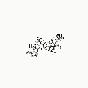 CCCN(CCC)c1ccc(C(=Cc2ccc(C=C(c3ccc(N(C)C)cc3)c3ccc(C)cc3C)cc2)c2ccc(C)cc2C)cc1